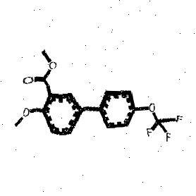 COC(=O)c1cc(-c2ccc(OC(F)(F)F)cc2)ccc1OC